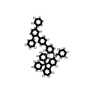 c1ccc(-c2ccc(-c3ccccc3)c(-c3ccc(-c4ccc(N(c5ccccc5)c5ccc6c(c5)C(c5ccccc5)(c5ccccc5)c5ccccc5-6)cc4)cc3)c2)cc1